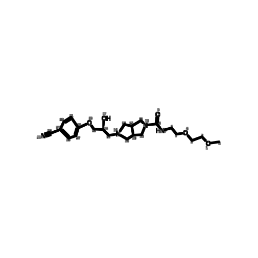 COCCOCCNC(=O)N1CC2CN(C[C@H](O)COc3ccc(C#N)cc3)CC2C1